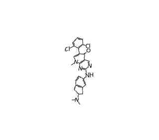 CN(C)C1Cc2ccc(Nc3ncc4c(=O)c(-c5c(Cl)cccc5Cl)cn(C)c4n3)cc2C1